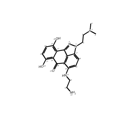 CN(C)CCn1nc2c3c(c(NCCN)ccc31)C(=O)c1c(O)ccc(O)c1-2